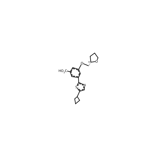 O=C(O)c1cc(OC[C@@H]2CCCO2)cc(-c2ncc(C3CCC3)s2)c1